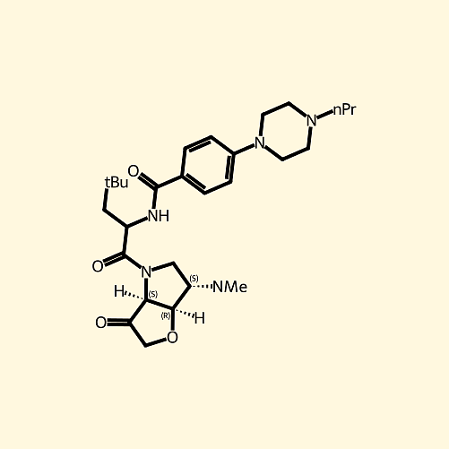 CCCN1CCN(c2ccc(C(=O)NC(CC(C)(C)C)C(=O)N3C[C@H](NC)[C@H]4OCC(=O)[C@H]43)cc2)CC1